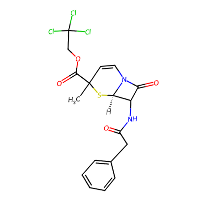 CC1(C(=O)OCC(Cl)(Cl)Cl)C=CN2C(=O)C(NC(=O)Cc3ccccc3)[C@H]2S1